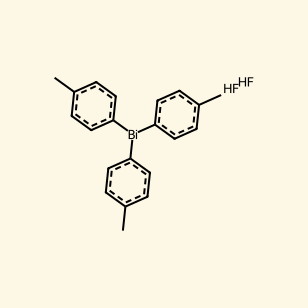 Cc1cc[c]([Bi]([c]2ccc(C)cc2)[c]2ccc(C)cc2)cc1.F.F